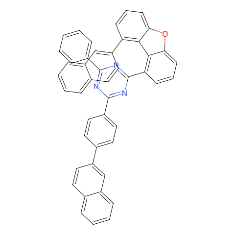 c1ccc(-c2nc(-c3ccc(-c4ccc5ccccc5c4)cc3)nc(-c3cccc4oc5cccc(-c6ccc7ccccc7c6)c5c34)n2)cc1